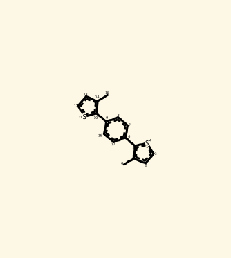 Cc1ccsc1-c1ccc(-c2sccc2C)cc1